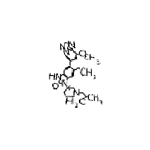 CCc1cc2c(cc1-c1cc(OC)c3ncnn3c1)[nH]c(=O)n2[C@@H]1CCCN(CC(C)C)C1